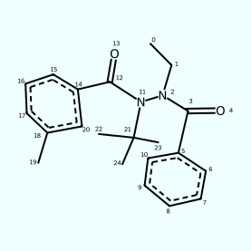 CCN(C(=O)c1ccccc1)N(C(=O)c1cccc(C)c1)C(C)(C)C